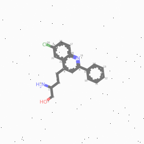 NC(CO)CCc1cc(-c2ccccc2)nc2ccc(Cl)cc12